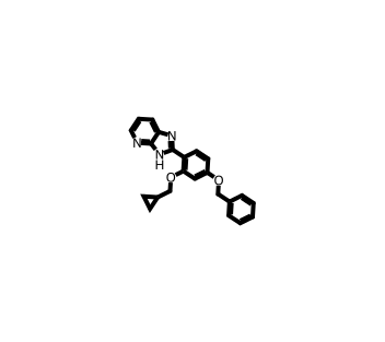 c1ccc(COc2ccc(-c3nc4cccnc4[nH]3)c(OCC3CC3)c2)cc1